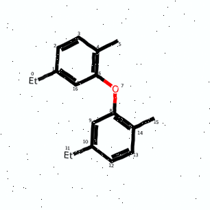 CCc1ccc(C)c(Oc2cc(CC)ccc2C)c1